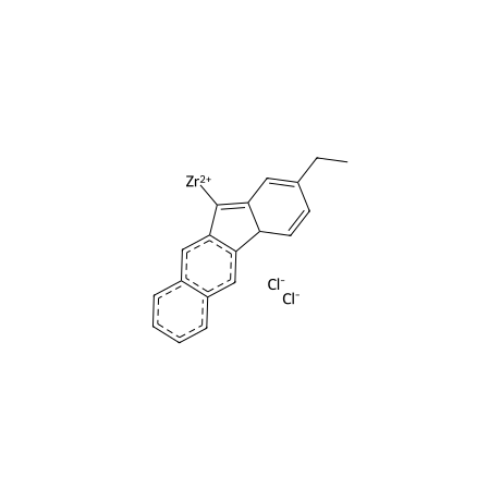 CCC1=CC2=[C]([Zr+2])c3cc4ccccc4cc3C2C=C1.[Cl-].[Cl-]